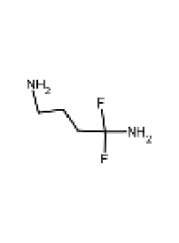 NCCCC(N)(F)F